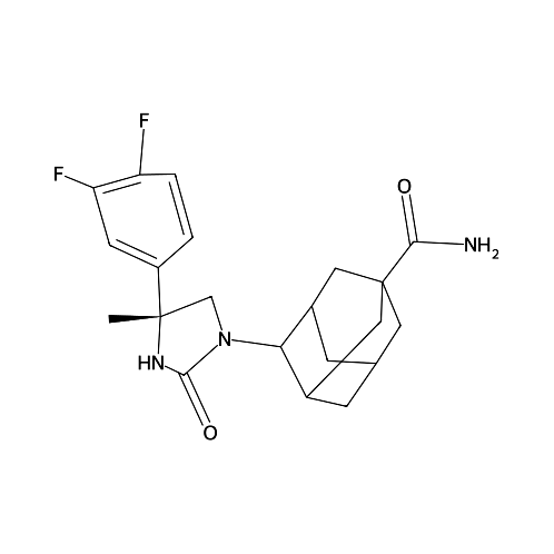 C[C@@]1(c2ccc(F)c(F)c2)CN(C2C3CC4CC2CC(C(N)=O)(C4)C3)C(=O)N1